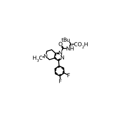 CN1CCc2c(c(-c3ccc(F)c(F)c3)nn2C(=O)N[C@H](C(=O)O)C(C)(C)C)C1